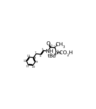 C[C@H](C(=O)NC=CCc1ccccc1)N(C(=O)O)C(C)(C)C